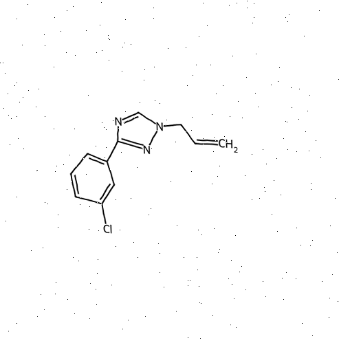 C=CCn1cnc(-c2cccc(Cl)c2)n1